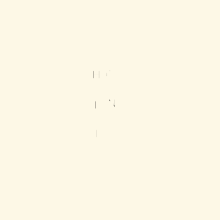 CCN(I)CC(F)F